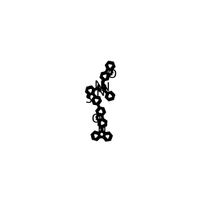 c1ccc(-c2nc(-c3ccc4c(c3)oc3ccccc34)nc(-c3cccc4sc5cc(-c6ccc7c(c6)oc6cc(-n8c9ccccc9c9ccccc98)ccc67)ccc5c34)n2)cc1